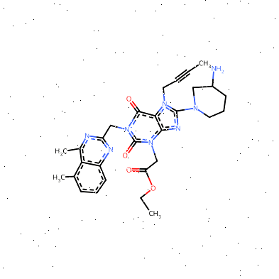 CC#CCn1c(N2CCCC(N)C2)nc2c1c(=O)n(Cc1nc(C)c3c(C)cccc3n1)c(=O)n2CC(=O)OCC